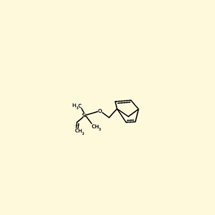 C=C[Si](C)(C)OCC12C=CC(C=C1)C2